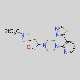 CCOC(=O)N1CC2(CC(N3CCN(c4ncccc4-c4nncs4)CC3)CO2)C1